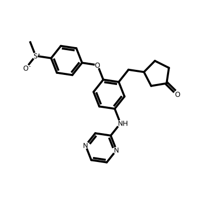 C[S+]([O-])c1ccc(Oc2ccc(Nc3cnccn3)cc2CC2CCC(=O)C2)cc1